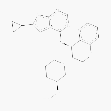 CO[C@H]1CCCN([C@H]2COc3ccccc3[C@@H]2Nc2ncnc3[nH]c(C4CC4)cc23)C1